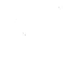 CCCCCCC[N+](CC)(CC)C/C=C/Cc1ccc(Cl)cc1.[Cl-]